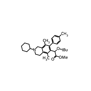 COC(=O)C(OC(C)(C)C)c1c(C)c2c(c(C)c1-c1ccc(C)cc1)CN(C1CCCCC1)CC2